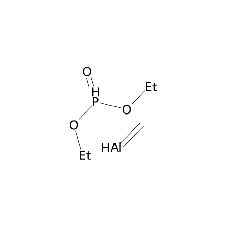 CCO[PH](=O)OCC.[CH2]=[AlH]